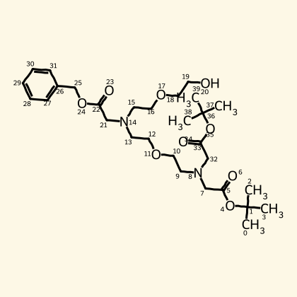 CC(C)(C)OC(=O)CN(CCOCCN(CCOCCO)CC(=O)OCc1ccccc1)CC(=O)OC(C)(C)C